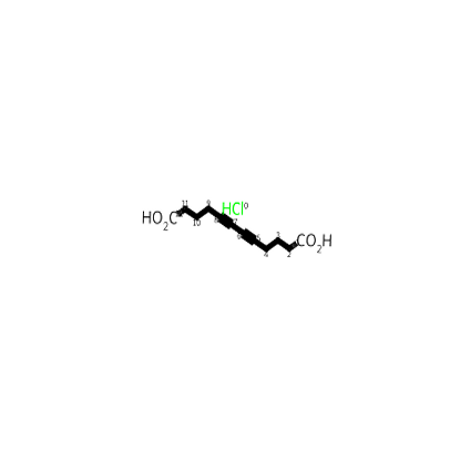 Cl.O=C(O)CCCC#CC#CCCCC(=O)O